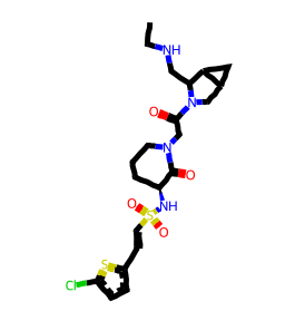 CCNCC1C2CC2CN1C(=O)CN1CCC[C@H](NS(=O)(=O)/C=C/c2ccc(Cl)s2)C1=O